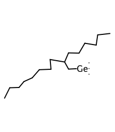 CCCCCCCCC([CH2][Ge])CCCCCC